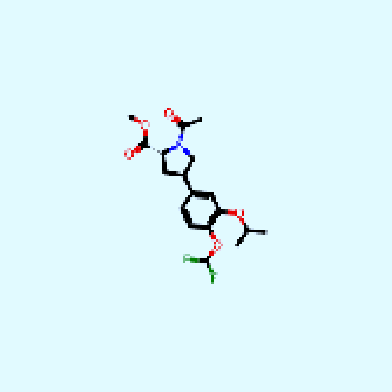 COC(=O)[C@H]1CC(c2ccc(OC(F)F)c(OC(C)C)c2)CN1C(C)=O